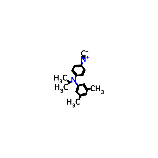 [C-]#[N+]c1ccc(N(c2cc(C)cc(C)c2)C(C)C)cc1